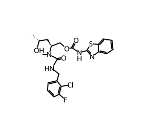 [CH2][C@@H](O)C[C@@H](COC(=O)Nc1nc2ccccc2s1)N(C)C(=O)NCc1cccc(F)c1Cl